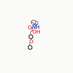 O=C(NC12CC3CC(CC(C3)C1)C2)C(O)Cc1ccc(OCc2ccccc2)cc1